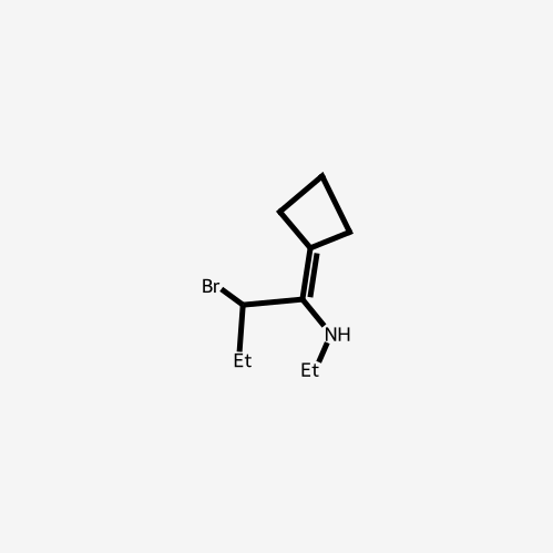 CCNC(=C1CCC1)C(Br)CC